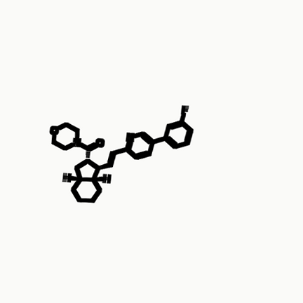 O=C([C@H]1C[C@H]2CCCC[C@H]2[C@@H]1/C=C/c1ccc(-c2cccc(F)c2)cn1)N1CCOCC1